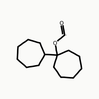 O=[C]OC1(C2CCCCCC2)CCCCCC1